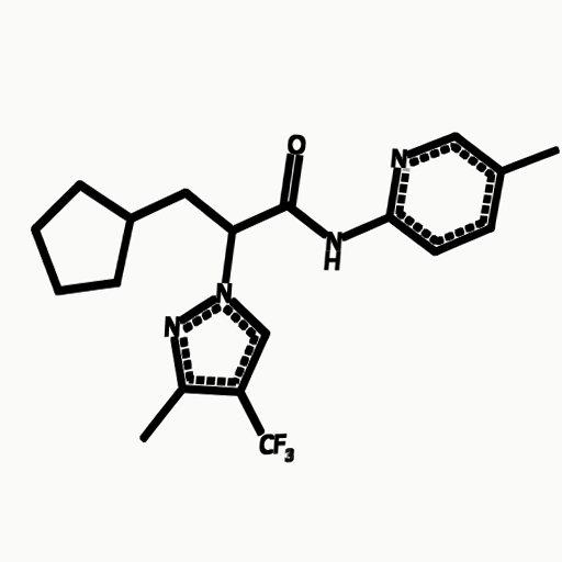 Cc1ccc(NC(=O)C(CC2CCCC2)n2cc(C(F)(F)F)c(C)n2)nc1